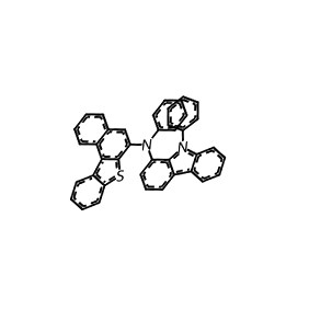 c1ccc(N(c2cc3ccccc3c3c2sc2ccccc23)c2cccc3c4ccccc4n(-c4ccccc4)c23)cc1